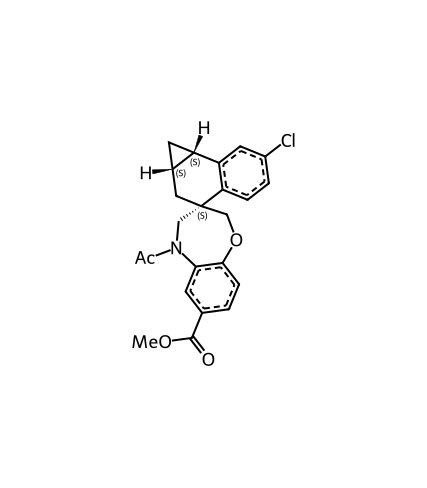 COC(=O)c1ccc2c(c1)N(C(C)=O)C[C@]1(CO2)C[C@@H]2C[C@@H]2c2cc(Cl)ccc21